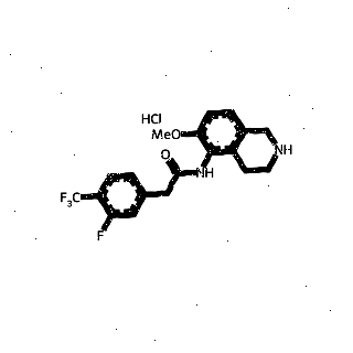 COc1ccc2c(c1NC(=O)Cc1ccc(C(F)(F)F)c(F)c1)CCNC2.Cl